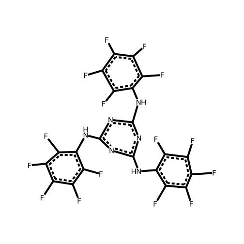 Fc1c(F)c(F)c(Nc2nc(Nc3c(F)c(F)c(F)c(F)c3F)nc(Nc3c(F)c(F)c(F)c(F)c3F)n2)c(F)c1F